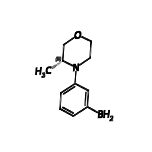 Bc1cccc(N2CCOC[C@H]2C)c1